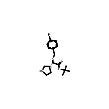 CC(C)(C)OC(=O)C(SCc1ccc(F)cc1)[C@@H]1CCNC1